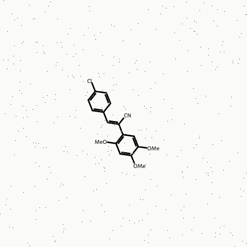 COc1cc(OC)c(C(C#N)=Cc2ccc(Cl)cc2)cc1OC